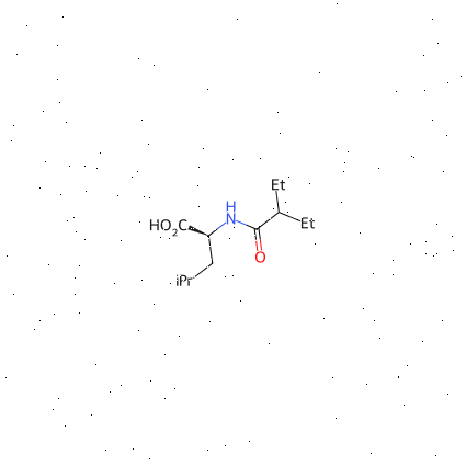 CCC(CC)C(=O)N[C@@H](CC(C)C)C(=O)O